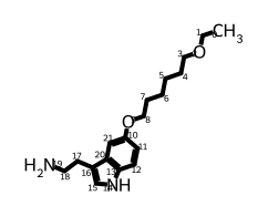 CCOCCCCCCOc1ccc2[nH]cc(CCN)c2c1